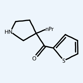 CCCC1(C(=O)c2cccs2)CCNC1